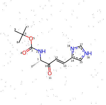 C[C@H](NC(=O)OC(C)(C)C)C(=O)/C=C/c1c[nH]cn1